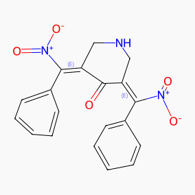 O=C1/C(=C(\c2ccccc2)[N+](=O)[O-])CNC/C1=C(/c1ccccc1)[N+](=O)[O-]